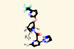 Cc1ccc(-n2nccn2)c(C(=O)N2[C@H](C)[C@H]3C[C@@H](Oc4ccc(C(F)(F)F)nc4)[C@@H]2C3)n1